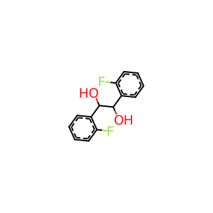 OC(c1ccccc1F)C(O)c1ccccc1F